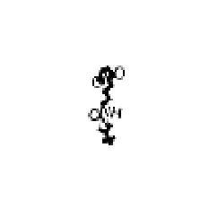 CC(C)(C)C1CN(C(=O)NCCCCN2C(=O)C=CC2=O)C1